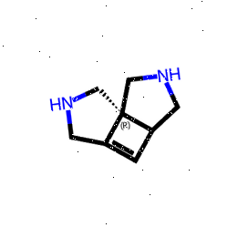 C1=C2CNC[C@@]23CNCC13